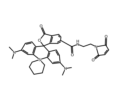 CN(C)c1ccc2c(c1)[Si]1(CCCCC1)c1cc(N(C)C)ccc1C21OC(=O)c2ccc(C(=O)NCCN3C(=O)C=CC3=O)cc21